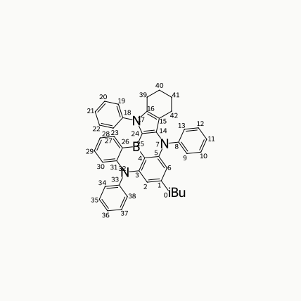 CCC(C)c1cc2c3c(c1)N(c1ccccc1)c1c4c(n(-c5ccccc5)c1B3c1ccccc1N2c1ccccc1)CCCC4